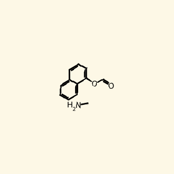 CN.O=COc1cccc2ccccc12